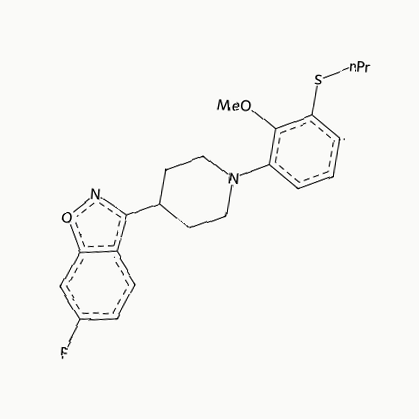 CCCSc1[c]ccc(N2CCC(c3noc4cc(F)ccc34)CC2)c1OC